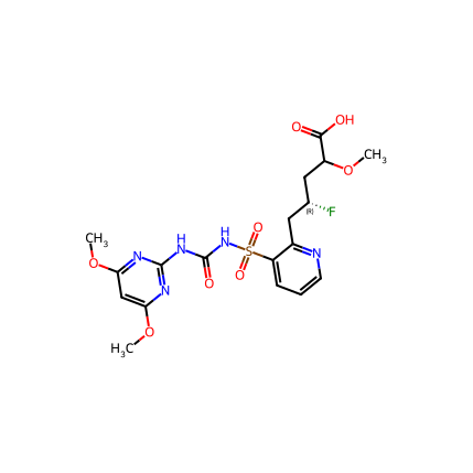 COc1cc(OC)nc(NC(=O)NS(=O)(=O)c2cccnc2C[C@@H](F)CC(OC)C(=O)O)n1